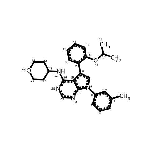 Cc1cccc(-n2cc(-c3ccccc3OC(C)C)c3c(NC4CCOCC4)ncnc32)c1